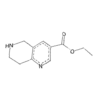 CCOC(=O)c1cnc2c(c1)CNCC2